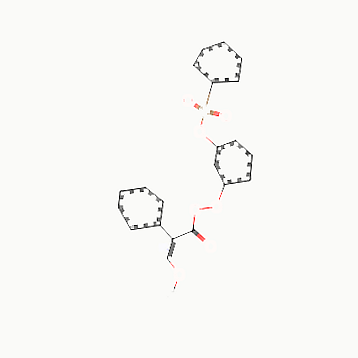 CO/C=C(\C(=O)OOc1cccc(OS(=O)(=O)c2ccccc2)c1)c1ccccc1